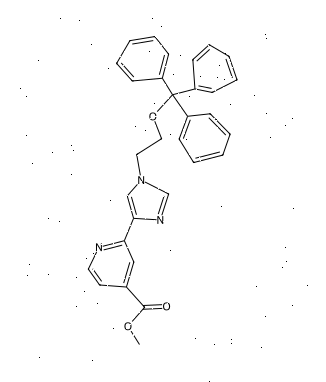 COC(=O)c1ccnc(-c2cn(CCOC(c3ccccc3)(c3ccccc3)c3ccccc3)cn2)c1